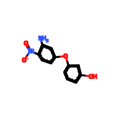 Nc1cc(Oc2cccc(O)c2)ccc1[N+](=O)[O-]